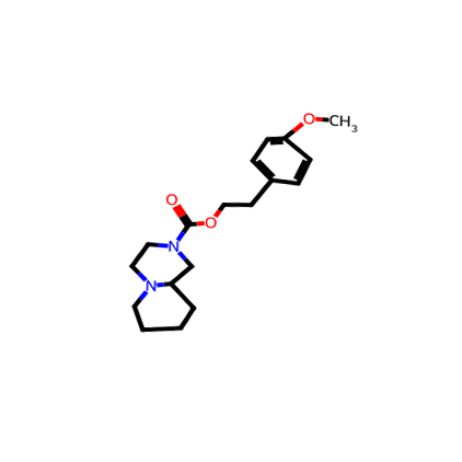 COc1ccc(CCOC(=O)N2CCN3CCCCC3C2)cc1